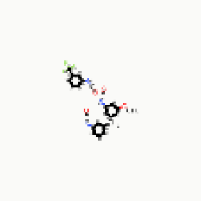 COc1cccc(N=C=O)c1.Cc1cccc(N=C=O)c1.O=C=Nc1cccc(C(F)(F)F)c1